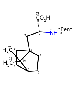 CCCCCN[C@H](CC12CCC(CC1)C2(C)C)C(=O)O